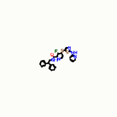 O=C(NCC(c1ccccc1)c1ccccc1)c1nccc(Sc2cnc(Nc3ccccn3)s2)c1F